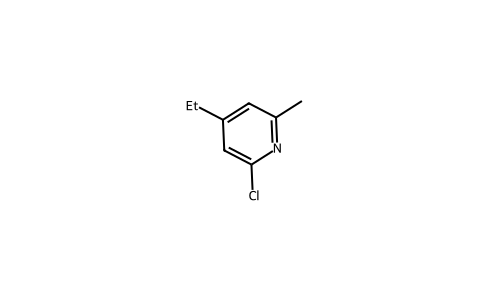 CCc1cc(C)nc(Cl)c1